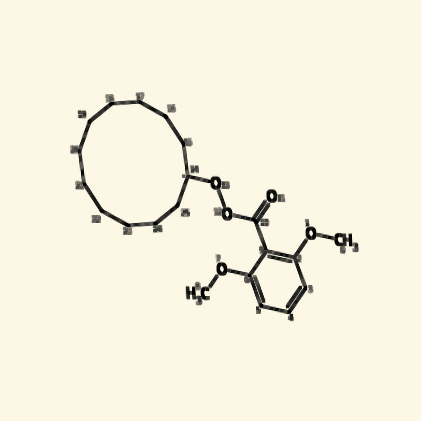 COc1cccc(OC)c1C(=O)OO[C]1CCCCCCCCCCC1